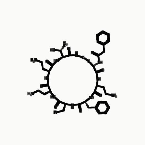 CC(C)C[C@@H]1NC(=O)[C@@H](Cc2ccccc2)NC(=O)[C@H](CCN)NC(=O)[C@@H](NC(=O)Cc2ccccc2)CCNC(=O)[C@H]([C@@H](C)O)NC(=O)[C@H](CCN)NC(=O)[C@H](CCN)NC1=O